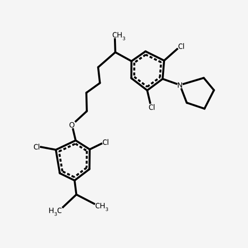 CC(C)c1cc(Cl)c(OCCCCC(C)c2cc(Cl)c(N3CCCC3)c(Cl)c2)c(Cl)c1